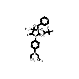 CCN(CC)c1ccc(N2C(=O)C(C)(C)[N+](Cc3ccncc3)(OC(=O)C(F)(F)F)C2=O)cc1